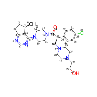 C[C@@H]1CCc2ncnc(N3CCN(C(=O)[C@H](CN4CCN(CCO)CC4)c4ccc(Cl)cc4)CC3)c21